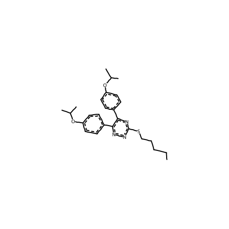 CCCCCSc1nnc(-c2ccc(OC(C)C)cc2)c(-c2ccc(OC(C)C)cc2)n1